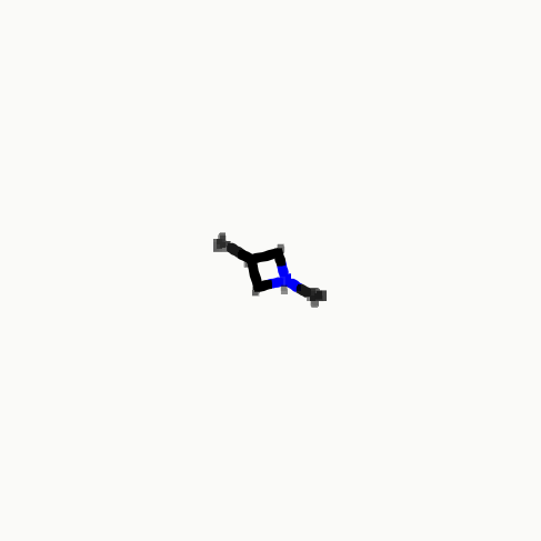 CCC(C)N1CC(C(C)C)C1